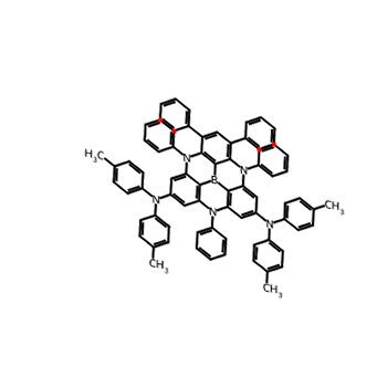 Cc1ccc(N(c2ccc(C)cc2)c2cc3c4c(c2)N(c2ccccc2)c2c(-c5ccccc5)cc(-c5ccccc5)c5c2B4c2c(cc(N(c4ccc(C)cc4)c4ccc(C)cc4)cc2N5c2ccccc2)N3c2ccccc2)cc1